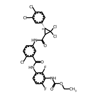 CCOC(=O)Nc1c(F)ccc(NC(=O)c2cc(NC(=O)C3[C@H](c4ccc(Cl)c(Cl)c4)C3(Cl)Cl)ccc2Cl)c1F